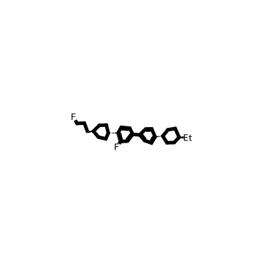 CC[C@H]1CC[C@H](c2ccc(-c3ccc([C@H]4CC[C@H](CCCF)CC4)c(F)c3)cc2)CC1